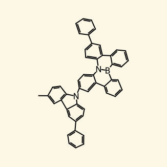 Cc1ccc2c(c1)c1cc(-c3ccccc3)ccc1n2-c1ccc2c(c1)-c1ccccc1B1c3ccccc3-c3cc(-c4ccccc4)ccc3N12